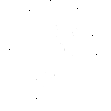 CC1=CCC(CCC2C(C)=Cc3ccccc32)=C1